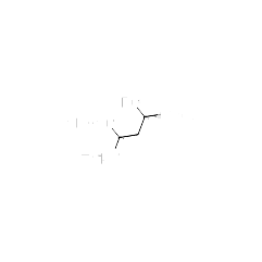 CCCCCCCCC([CH]C(CCCCCCC)CCCCCCC)CC